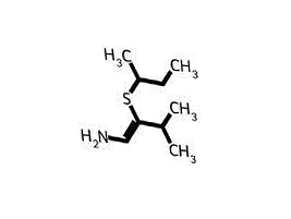 CCC(C)S/C(=C\N)C(C)C